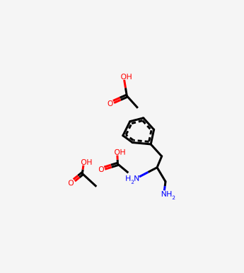 CC(=O)O.CC(=O)O.CC(=O)O.NCC(N)Cc1ccccc1